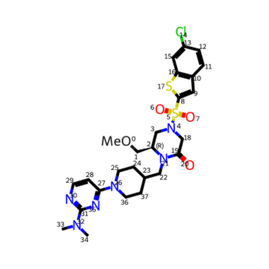 COC[C@H]1CN(S(=O)(=O)c2cc3ccc(Cl)cc3s2)CC(=O)N1CC1CCN(c2ccnc(N(C)C)n2)CC1